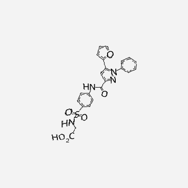 O=C(O)CNS(=O)(=O)c1ccc(NC(=O)c2cc(-c3ccco3)n(-c3ccccc3)n2)cc1